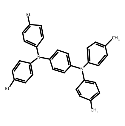 CCc1ccc(N(c2ccc(CC)cc2)c2ccc(N(c3ccc(C)cc3)c3ccc(C)cc3)cc2)cc1